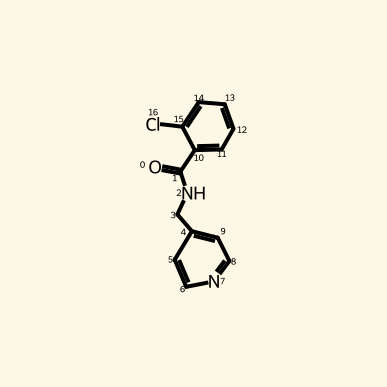 O=C(NCc1ccncc1)c1ccccc1Cl